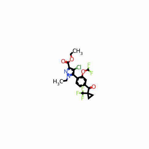 CCOC(=O)c1nn(CC)c(-c2ccc(C(=O)C3(C(F)(F)F)CC3)cc2OC(F)F)c1Cl